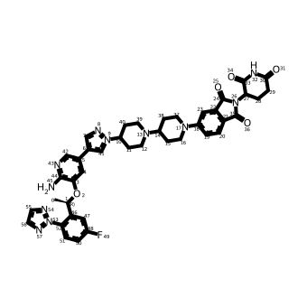 C[C@@H](Oc1cc(-c2cnn(C3CCN(C4CCN(c5ccc6c(c5)C(=O)N(C5CCC(=O)NC5=O)C6=O)CC4)CC3)c2)cnc1N)c1cc(F)ccc1-n1nccn1